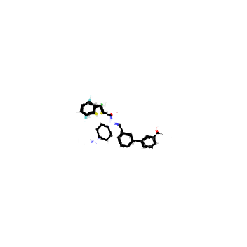 CN[C@H]1CC[C@H](N(Cc2cccc(-c3cccc(C(C)=O)c3)c2)C(=O)c2sc3c(F)ccc(F)c3c2Cl)CC1